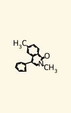 Cc1ccc2c(=O)n(C)cc(-c3ccccc3)c2c1